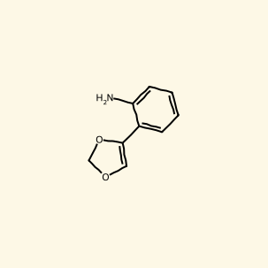 Nc1ccccc1C1=COCO1